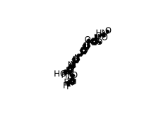 COc1ccc(C(=O)N2CCC3(CCC(CCN4CCC(n5cc6cc(NC(=O)c7cccc(C(F)(F)F)n7)c(C(C)(C)O)cc6n5)CC4)CC3)CC2)cc1N(C)CCC(=O)NC=O